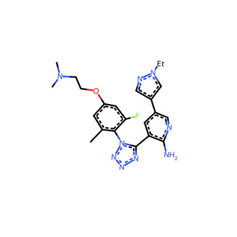 CCn1cc(-c2cnc(N)c(-c3nnnn3-c3c(C)cc(OCCN(C)C)cc3F)c2)cn1